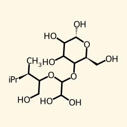 CC(C)[C@@H](C)C(CO)OC(OC1C(O)C(O)[C@H](O)O[C@H]1CO)C(O)O